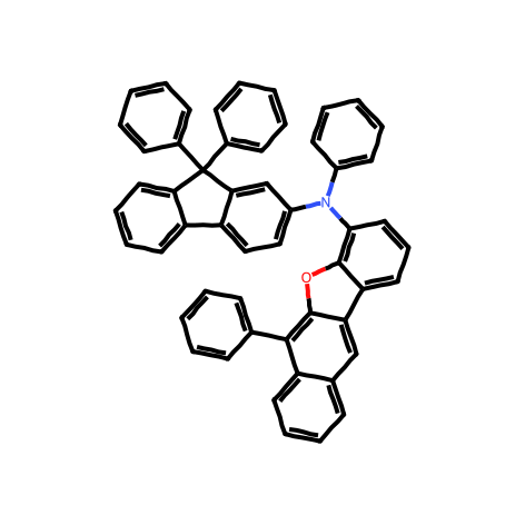 c1ccc(-c2c3ccccc3cc3c2oc2c(N(c4ccccc4)c4ccc5c(c4)C(c4ccccc4)(c4ccccc4)c4ccccc4-5)cccc23)cc1